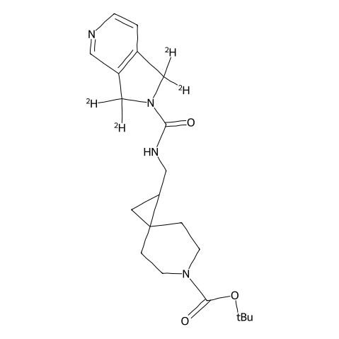 [2H]C1([2H])c2ccncc2C([2H])([2H])N1C(=O)NCC1CC12CCN(C(=O)OC(C)(C)C)CC2